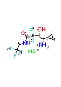 Cl.N[C@@H](C1CC1)[C@@H](O)C(F)(F)C(=O)NCC(F)(F)F